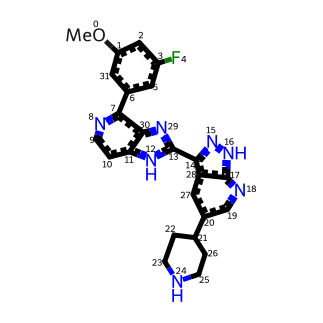 COc1cc(F)cc(-c2nccc3[nH]c(-c4n[nH]c5ncc(C6CCNCC6)cc45)nc23)c1